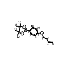 C=CCCOc1ccc(B2OC(C)(C)C(C)(C)O2)cc1